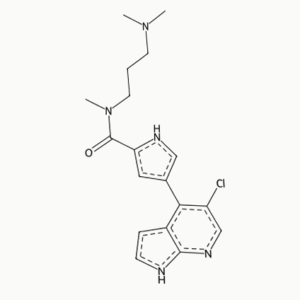 CN(C)CCCN(C)C(=O)c1cc(-c2c(Cl)cnc3[nH]ccc23)c[nH]1